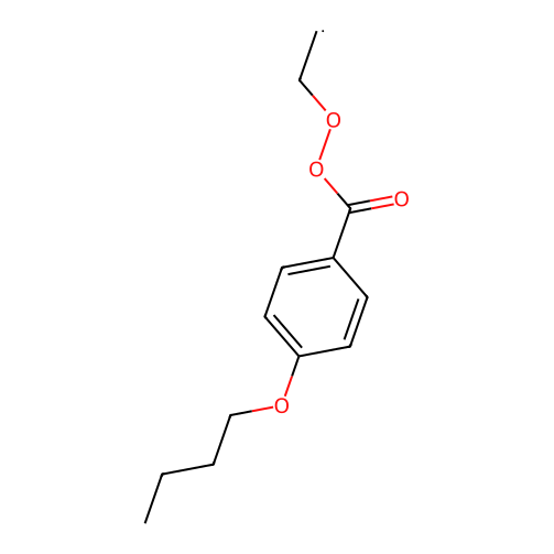 [CH2]COOC(=O)c1ccc(OCCCC)cc1